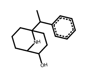 CC(c1ccccc1)C12CCCC(N1)C(O)CC2